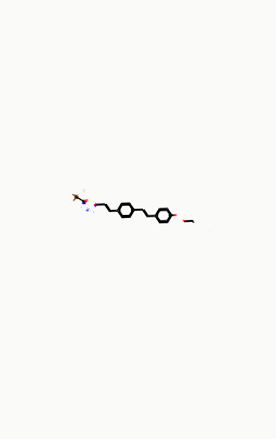 CCCOc1ccc(C=Cc2ccc(C=Cc3nnc(C(Br)(Br)Br)o3)cc2)cc1